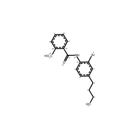 CC(=O)c1cc(CCCO)ccc1NC(=O)c1ccccc1C(=O)O